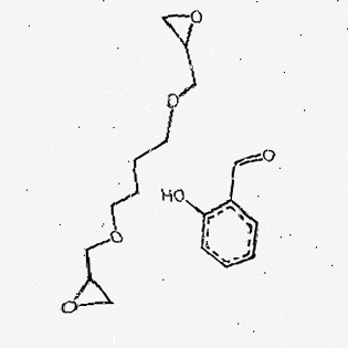 C(CCOCC1CO1)COCC1CO1.O=Cc1ccccc1O